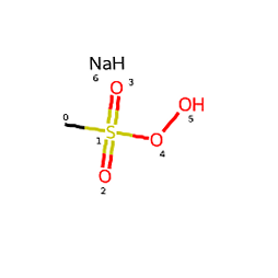 CS(=O)(=O)OO.[NaH]